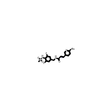 CC(C)(C)c1ccc(/C=C/C(=O)NCc2cc(F)c(NS(C)(=O)=O)c(F)c2)cn1